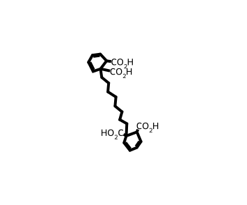 O=C(O)C1C=CC=CC1(CCCCCCCCC1(C(=O)O)C=CC=CC1C(=O)O)C(=O)O